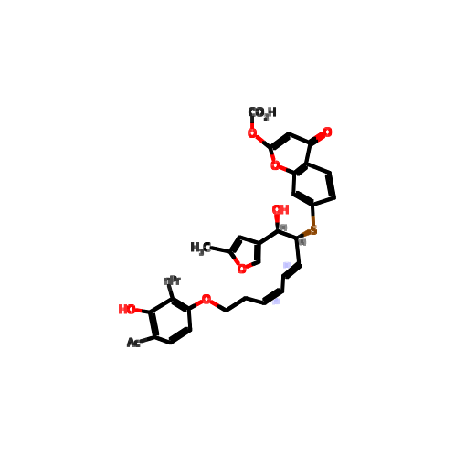 CCCc1c(OCC/C=C\C=C\[C@H](Sc2ccc3c(=O)cc(OC(=O)O)oc3c2)[C@H](O)c2coc(C)c2)ccc(C(C)=O)c1O